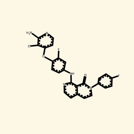 Nc1nccc(Oc2ccc(Nc3nccc4ccn(-c5ccc(F)cc5)c(=O)c34)cc2F)c1Cl